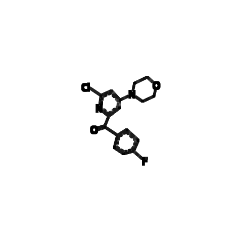 O=C(c1ccc(F)cc1)c1cc(N2CCOCC2)cc(Cl)n1